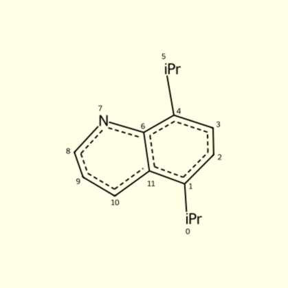 CC(C)c1ccc(C(C)C)c2ncccc12